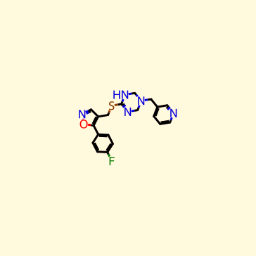 Fc1ccc(-c2oncc2CSC2=NCN(Cc3cccnc3)CN2)cc1